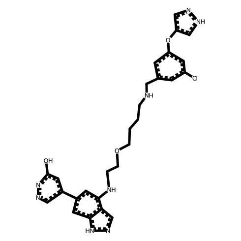 Oc1cc(-c2cc(NCCOCCCCNCc3cc(Cl)cc(Oc4cn[nH]c4)c3)c3cn[nH]c3c2)cnn1